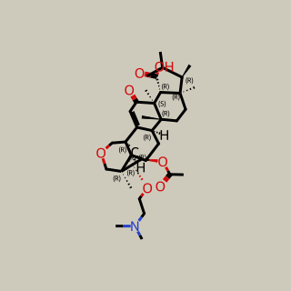 CC(=O)O[C@@H]1C[C@@]23COC[C@@](C)([C@@H]2CC[C@H]2C3=CC(=O)[C@@]3(C)[C@H](C(=O)O)[C@@](C)([C@H](C)C(C)C)CC[C@]23C)[C@H]1OCCN(C)C